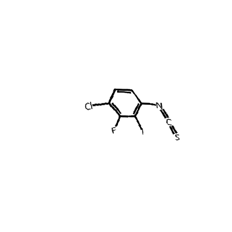 Fc1c(Cl)ccc(N=C=S)c1I